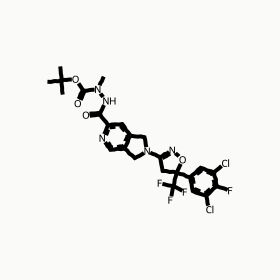 CN(NC(=O)c1cc2c(cn1)CN(C1=NOC(c3cc(Cl)c(F)c(Cl)c3)(C(F)(F)F)C1)C2)C(=O)OC(C)(C)C